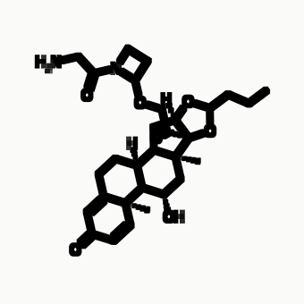 CCCC1O[C@@H]2CC3[C@@H]4CCC5=CC(=O)C=C[C@]5(C)C4[C@@H](O)C[C@]3(C)[C@]2(C(=O)COC2CCN2C(=O)CN)O1